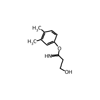 Cc1ccc(OC(=N)CCO)cc1C